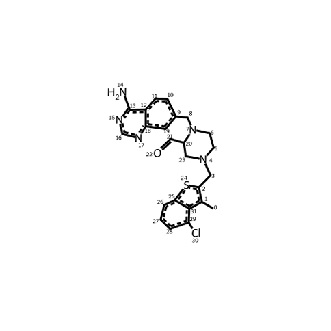 Cc1c(CN2CCN(Cc3ccc4c(N)ncnc4c3)C(C=O)C2)sc2cccc(Cl)c12